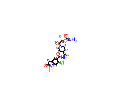 CC(NC(=O)c1cc2c(cc1Cl)NC(=O)C2)C1CCN(C(=O)[C@H](C)OC(N)=O)CC1